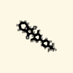 Cc1cc(-c2ccc(C(F)(F)F)cc2)cc(C)c1C1C(=O)c2c3oc(c2C1=O)C=CC=C3